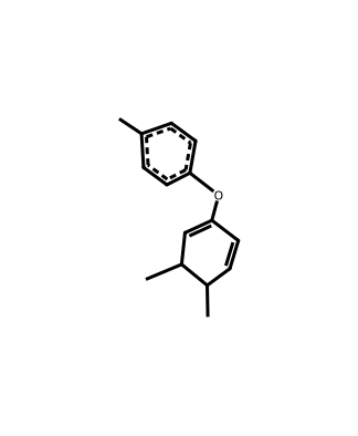 Cc1ccc(OC2=CC(C)C(C)C=C2)cc1